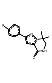 CC1(C)CNC(=O)c2cc(-c3ccc(F)cc3)nn21